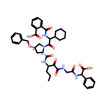 CCCC(NC(=O)[C@@H]1C[C@@H](OCc2ccccc2)CN1C(=O)C(NC(=O)c1ccccc1C(=O)O)C1CCCCC1)C(=O)C(=O)NCC(=O)NC(C(=O)O)c1ccccc1